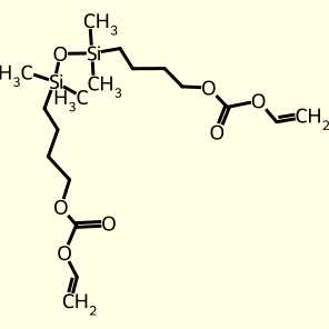 C=COC(=O)OCCCC[Si](C)(C)O[Si](C)(C)CCCCOC(=O)OC=C